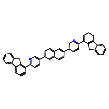 c1cc2c(c(-c3ccc(-c4ccc5cc(-c6ccc(C7=CCCC8=C7Cc7ccccc78)nc6)ccc5c4)cn3)c#1)Cc1ccccc1-2